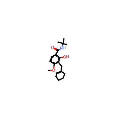 COc1ccc(C(=O)NC(C)(C)C)c(O)c1CC1=CCCCC1